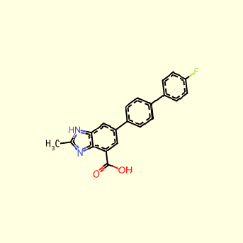 Cc1nc2c(C(=O)O)cc(-c3ccc(-c4ccc(F)cc4)cc3)cc2[nH]1